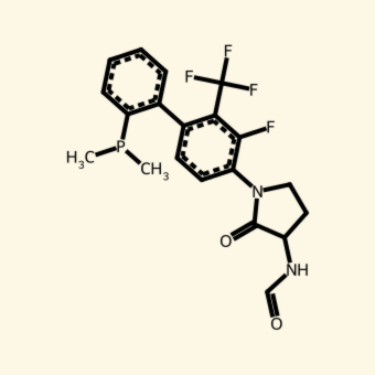 CP(C)c1ccccc1-c1ccc(N2CCC(NC=O)C2=O)c(F)c1C(F)(F)F